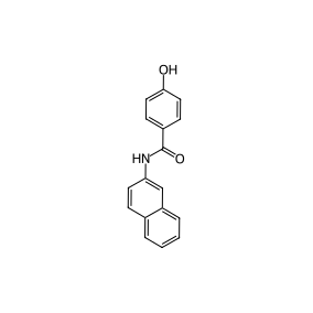 O=C(Nc1ccc2ccccc2c1)c1ccc(O)cc1